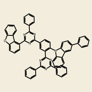 c1ccc(-c2ccc3c(c2)c2ccccc2n3-c2ccc(-c3nc(-c4ccccc4)nc(-c4cccc5oc6ccccc6c45)n3)cc2-c2nc(-c3ccccc3)nc(-c3ccccc3)n2)cc1